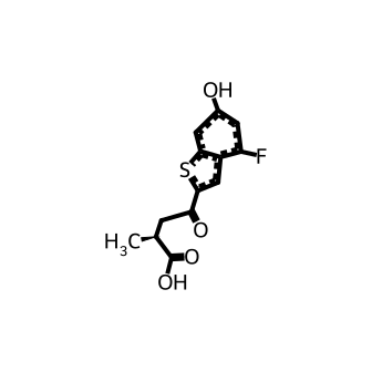 C[C@@H](CC(=O)c1cc2c(F)cc(O)cc2s1)C(=O)O